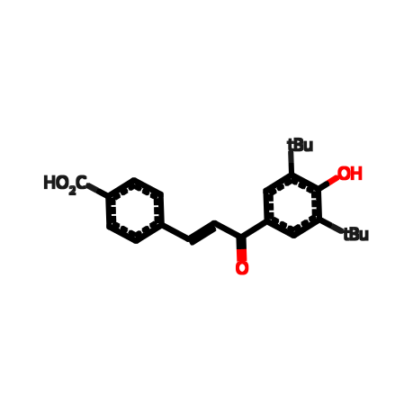 CC(C)(C)c1cc(C(=O)C=Cc2ccc(C(=O)O)cc2)cc(C(C)(C)C)c1O